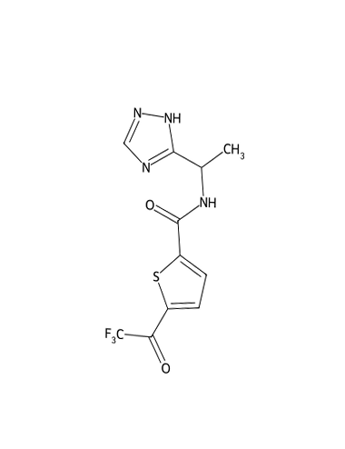 CC(NC(=O)c1ccc(C(=O)C(F)(F)F)s1)c1ncn[nH]1